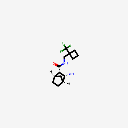 N[C@@H]1[C@H]2CC[C@H](C2)[C@@H]1C(=O)NCC1(C(F)(F)F)CCC1